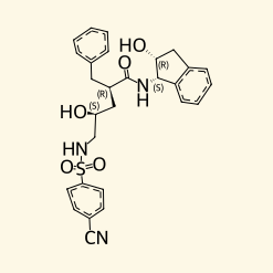 N#Cc1ccc(S(=O)(=O)NC[C@@H](O)C[C@@H](Cc2ccccc2)C(=O)N[C@H]2c3ccccc3C[C@H]2O)cc1